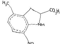 Cc1ccc([N+](=O)[O-])c2c1CC(C(=O)O)N2